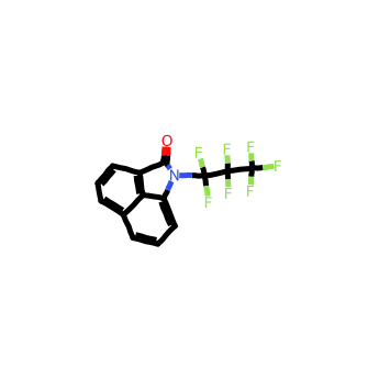 O=C1c2cccc3cccc(c23)N1C(F)(F)C(F)(F)C(F)(F)F